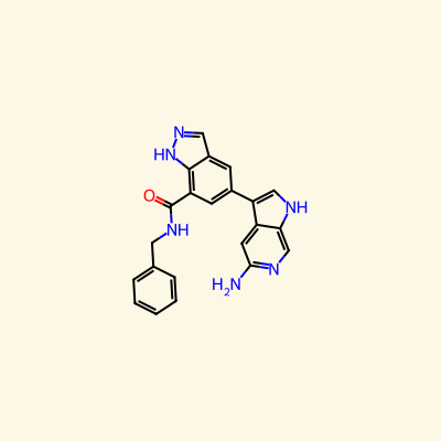 Nc1cc2c(-c3cc(C(=O)NCc4ccccc4)c4[nH]ncc4c3)c[nH]c2cn1